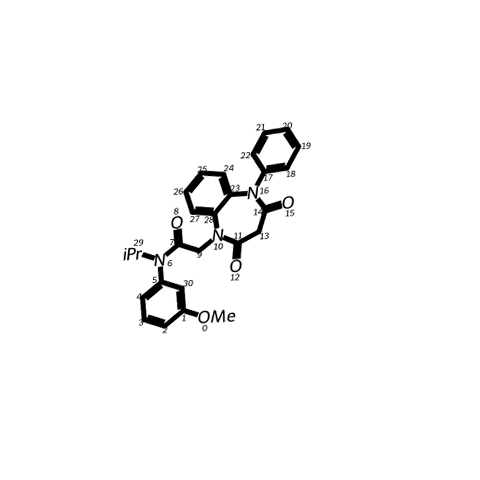 COc1cccc(N(C(=O)CN2C(=O)CC(=O)N(c3ccccc3)c3ccccc32)C(C)C)c1